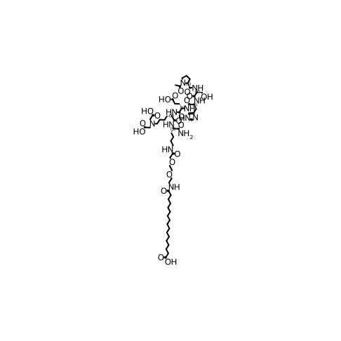 CC(=O)N1CCC[C@H]1C(=O)N[C@@H](CO)C(=O)N[C@@H](Cc1c[nH]cn1)C(=O)N[C@@H](CCC(=O)O)C(=O)N[C@@H](CCCCN(CC(=O)O)CC(=O)O)C(=O)N[C@@H](CCCCNC(=O)COCCOCCNC(=O)CCCCCCCCCCCCCCCC(=O)O)C(N)=O